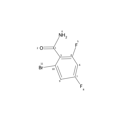 NC(=O)c1c(F)cc(F)cc1Br